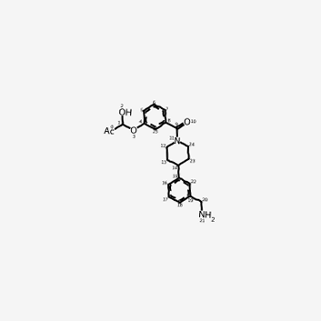 CC(=O)C(O)Oc1cccc(C(=O)N2CCC(c3cccc(CN)c3)CC2)c1